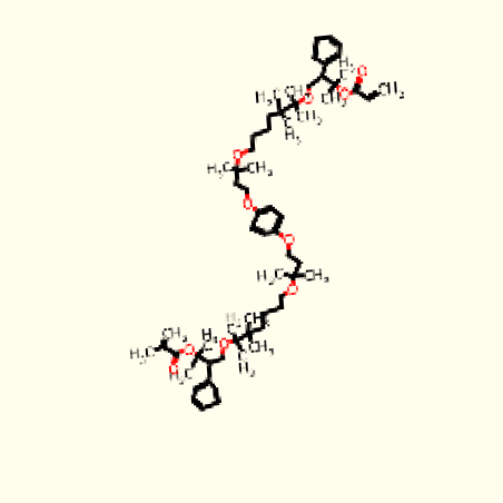 C=CC(=O)OC(C)(C)C(COC(C)(C)C(C)(C)CCCCOC(C)(C)CCOc1ccc(OCCC(C)(C)OCCCCC(C)(C)C(C)(C)OCC(c2ccccc2)C(C)(C)OC(=O)C(=C)C)cc1)c1ccccc1